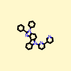 c1ccc(-c2nc3c4c5ccccc5n(-c5cccc(-c6cccnc6)n5)c4ccc3n2-c2ccccc2)cc1